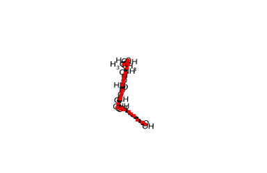 CN[C@@H](CCCCNC(=O)COCCOCCNC(=O)COCCOCCNC(=O)CC[C@@H](NC(=O)CCCCCCCCCCCCCCCCC(=O)O)C(=O)O)C(=O)C(C)C